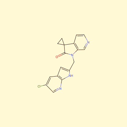 O=C1N(Cc2cc3cc(Cl)cnc3[nH]2)c2cnccc2C12CC2